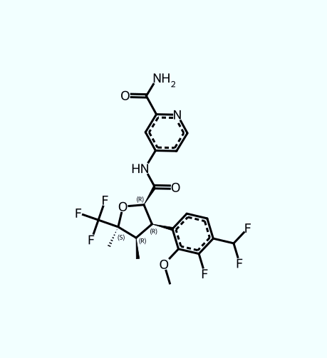 COc1c([C@H]2[C@@H](C)[C@@](C)(C(F)(F)F)O[C@H]2C(=O)Nc2ccnc(C(N)=O)c2)ccc(C(F)F)c1F